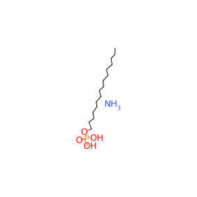 CCCCCCCCCCCCCCCCOP(=O)(O)O.N